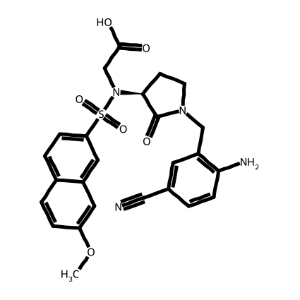 COc1ccc2ccc(S(=O)(=O)N(CC(=O)O)[C@H]3CCN(Cc4cc(C#N)ccc4N)C3=O)cc2c1